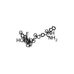 CC1(C)O[C@@H]2C[C@H]3[C@@H]4C[C@H](F)C5=CC(=O)C=C[C@]5(C)[C@@]4(F)[C@@H](O)C[C@]3(C)[C@]2(C(=O)COC(=O)CCC(=O)OCc2ccc(C(CCN)C(=O)Nc3ccc4ccccc4c3)cc2)O1